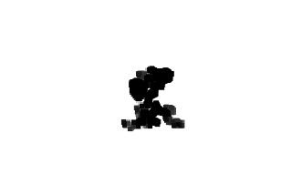 Cc1nc(N)nc(NCCCc2nc3cccc(C)c3c(=O)n2-c2ccccc2)c1C1CC1C(=O)OC(C)(C)C